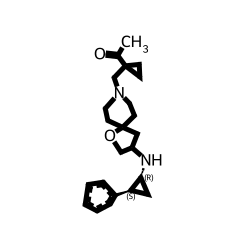 CC(=O)C1(CN2CCC3(CC2)CC(N[C@@H]2C[C@H]2c2ccccc2)CO3)CC1